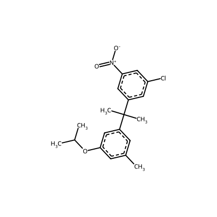 Cc1cc(OC(C)C)cc(C(C)(C)c2cc(Cl)cc([N+](=O)[O-])c2)c1